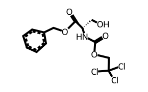 O=C(N[C@@H](CO)C(=O)OCc1ccccc1)OCC(Cl)(Cl)Cl